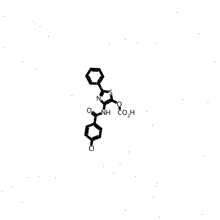 O=C(O)Oc1sc(-c2ccccc2)nc1NC(=O)c1ccc(Cl)cc1